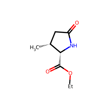 CCOC(=O)[C@H]1NC(=O)C[C@H]1C